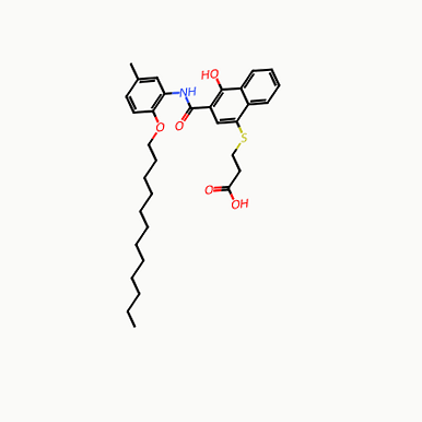 CCCCCCCCCCCCOc1ccc(C)cc1NC(=O)c1cc(SCCC(=O)O)c2ccccc2c1O